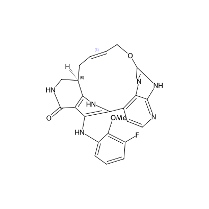 COc1c(F)cccc1Nc1c2[nH]c3c1C(=O)NC[C@H]3C/C=C/COc1nc3c-2ccnc3[nH]1